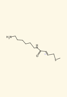 CSC/C=C/C(=O)NCCCCCCN